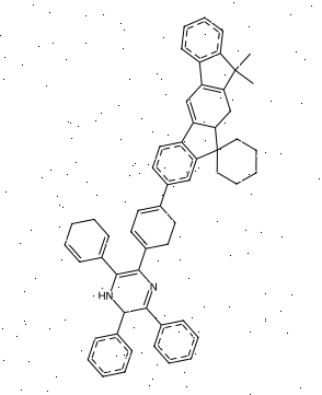 CC1(C)C2=C(C=C3c4ccc(C5=CC=C(C6=C(C7=CCCC=C7)NC(c7ccccc7)C(c7ccccc7)=N6)CC5)cc4C4(CCCCC4)C3C2)c2ccccc21